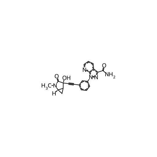 CN1C(=O)[C@](O)(C#Cc2cccc(-n3nc(C(N)=O)c4cccnc43)c2)C2C[C@@H]21